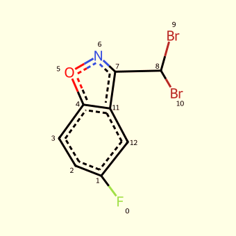 Fc1ccc2onc(C(Br)Br)c2c1